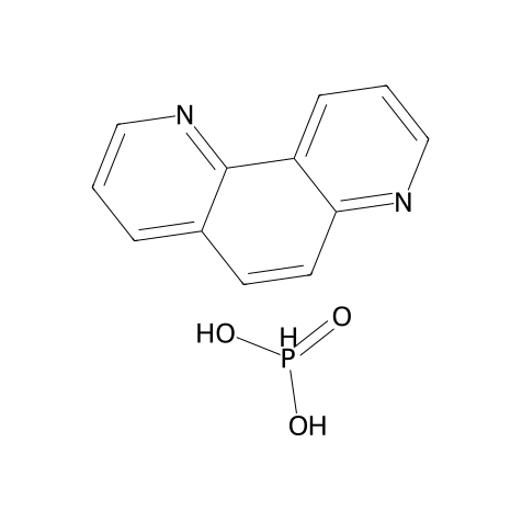 O=[PH](O)O.c1cnc2c(c1)ccc1ncccc12